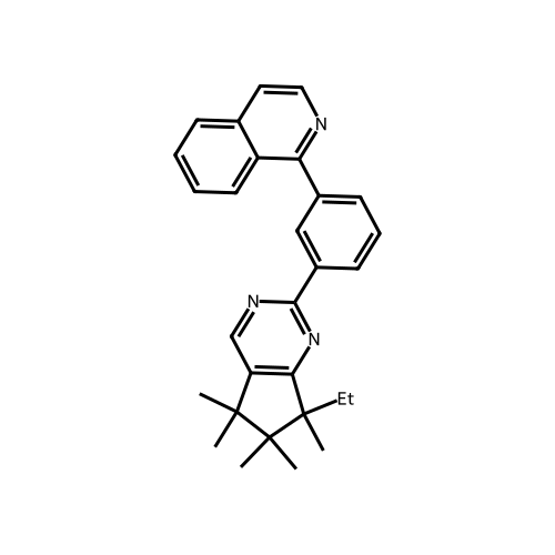 CCC1(C)c2nc(-c3cccc(-c4nccc5ccccc45)c3)ncc2C(C)(C)C1(C)C